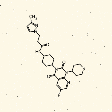 Cc1ccn(CCC(=O)NC2CCC(n3c(=O)c4cc(F)cnc4n(C4CCSCC4)c3=O)CC2)n1